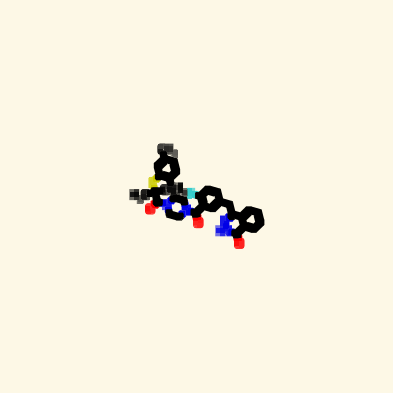 Cc1ccc(C)c(SC(C)(C)C(=O)N2CCN(C(=O)c3cc(Cc4n[nH]c(=O)c5ccccc45)ccc3F)CC2)c1